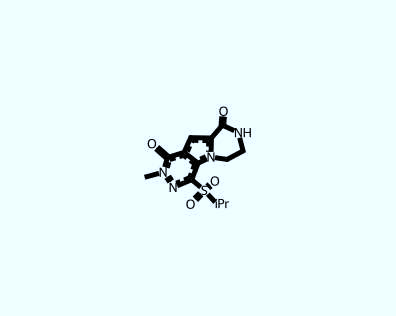 CC(C)S(=O)(=O)c1nn(C)c(=O)c2cc3n(c12)CCNC3=O